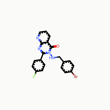 O=c1c2cccnc2nc(-c2ccc(F)cc2)n1NCc1ccc(Br)cc1